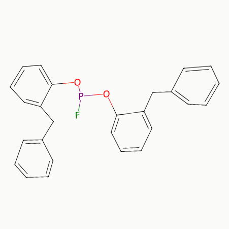 FP(Oc1ccccc1Cc1ccccc1)Oc1ccccc1Cc1ccccc1